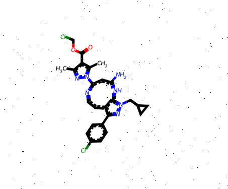 Cc1nn(-c2cc(N)[nH]c3c(ccn2)c(-c2ccc(Cl)cc2)nn3CC2CC2)c(C)c1C(=O)OCCl